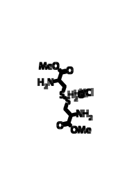 COC(=O)C(N)CSSCC(N)C(=O)OC.Cl.Cl.O